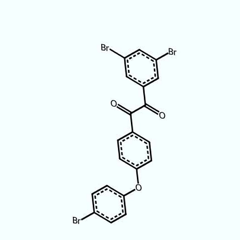 O=C(C(=O)c1cc(Br)cc(Br)c1)c1ccc(Oc2ccc(Br)cc2)cc1